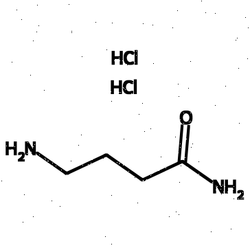 Cl.Cl.NCCCC(N)=O